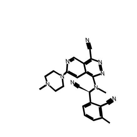 Cc1cccc([C@@H](C#N)N(C)c2nnc(C#N)c3cnc(N4CCN(C)CC4)cc23)c1C#N